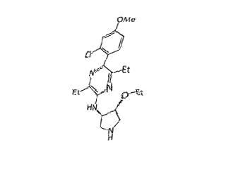 CCO[C@H]1CNC[C@H]1Nc1nc(CC)c(-c2ccc(OC)cc2Cl)nc1CC